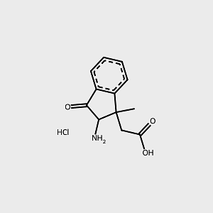 CC1(CC(=O)O)c2ccccc2C(=O)C1N.Cl